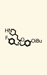 CC(C)COc1ccc(CN(Cc2ccc(F)cc2)C(=O)CCC2CCNCC2)cc1